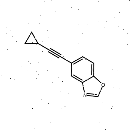 C(#CC1CC1)c1ccc2ocnc2c1